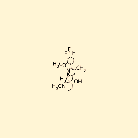 COc1cc(C(F)(F)F)ccc1-c1nnc([C@H](O)[C@]2(C)CCCCN(C)C2)cc1C